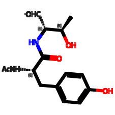 CC(=O)N[C@@H](Cc1ccc(O)cc1)C(=O)N[C@H]([C]=O)[C@@H](C)O